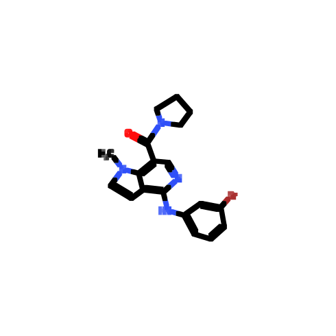 Cn1ccc2c(Nc3cccc(Br)c3)ncc(C(=O)N3CCCC3)c21